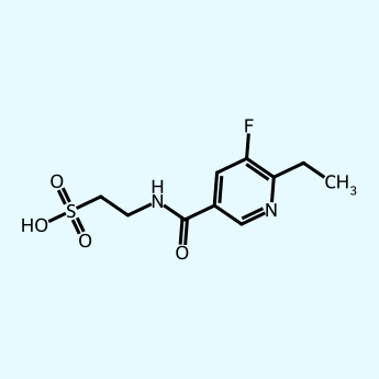 CCc1ncc(C(=O)NCCS(=O)(=O)O)cc1F